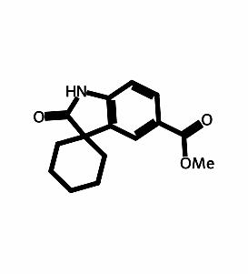 COC(=O)c1ccc2c(c1)C1(CCCCC1)C(=O)N2